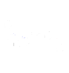 CC1(C)c2ccccc2Oc2ccc(-c3cccc(-c4ccc5ccc6ccc(-c7ccccc7)nc6c5n4)c3)cc21